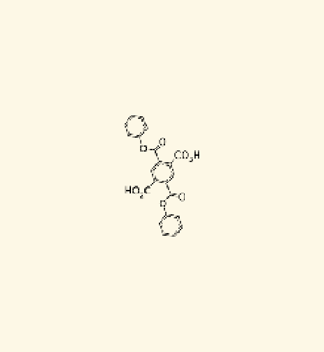 O=C(O)c1cc(C(=O)Oc2ccccc2)c(C(=O)O)cc1C(=O)Oc1ccccc1